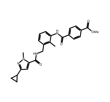 COC(=O)c1ccc(C(=O)Nc2cccc(CNC(=O)c3cc(C4CC4)nn3C)c2C)cc1